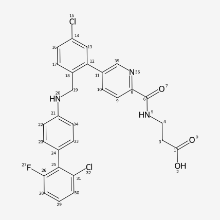 O=C(O)CCNC(=O)c1ccc(-c2cc(Cl)ccc2CNc2ccc(-c3c(F)cccc3Cl)cc2)cn1